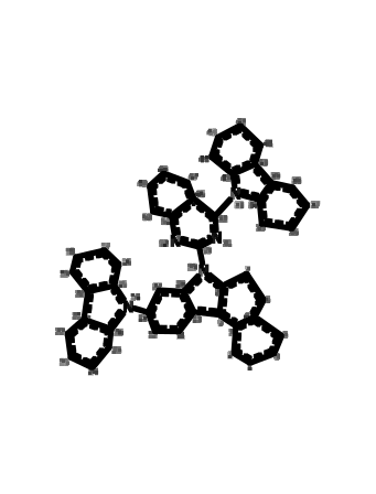 c1ccc2c(c1)ccc1c2c2ccc(-n3c4ccccc4c4ccccc43)cc2n1-c1nc(-n2c3ccccc3c3ccccc32)c2ccccc2n1